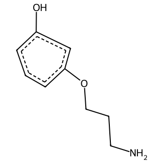 NCCCOc1cccc(O)c1